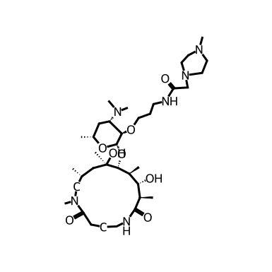 C[C@H]1CN(C)C(=O)CCCNC(=O)[C@H](C)[C@@H](O)[C@H](C)[C@@H](O[C@@H]2O[C@H](C)C[C@H](N(C)C)[C@H]2OCCCNC(=O)CN2CCN(C)CC2)[C@](C)(O)C1